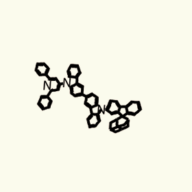 c1ccc(-c2cc(-n3c4ccccc4c4cc(-c5ccc6c(c5)c5ccccc5n6-c5ccc6c(c5)C5(c7ccccc7-6)C6CC7CC(C6)CC5C7)ccc43)cc(-c3ccccc3)n2)cc1